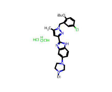 CCN1CCN(c2ccc3[nH]c(-c4cc(C)n(Cc5cc(Cl)ccc5OCC(C)C)n4)nc3c2)CC1.Cl.Cl.Cl